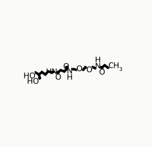 CCCC(=O)NCCOCCOCCNC(=O)CCC(=O)NCCCCC(CO)CO